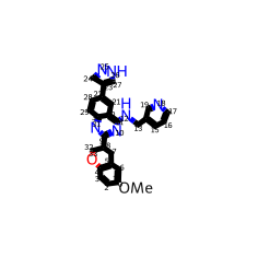 COc1ccc2c(c1)CC(c1nc(NCc3cccnc3)c3cc(-c4cn[nH]c4)ccc3n1)CO2